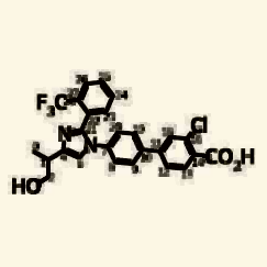 CC(CO)c1cn(-c2ccc(-c3ccc(C(=O)O)c(Cl)c3)cc2)c(-c2ccccc2C(F)(F)F)n1